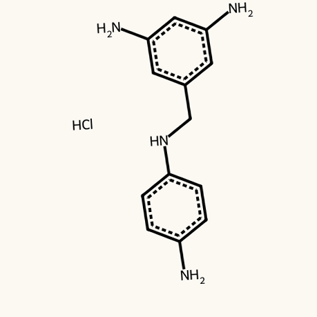 Cl.Nc1ccc(NCc2cc(N)cc(N)c2)cc1